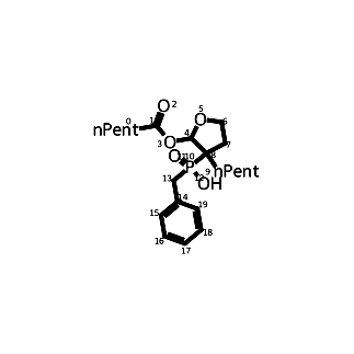 CCCCCC(=O)OC1OCCC1(CCCCC)P(=O)(O)Cc1ccccc1